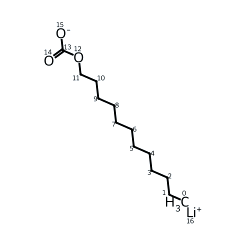 CCCCCCCCCCCCOC(=O)[O-].[Li+]